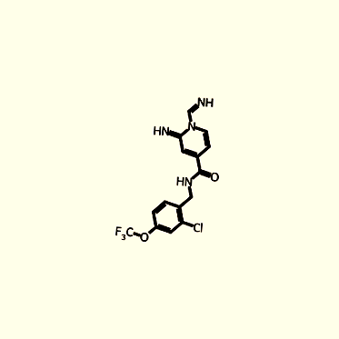 N=Cn1ccc(C(=O)NCc2ccc(OC(F)(F)F)cc2Cl)cc1=N